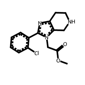 COC(=O)Cn1c(-c2ccccc2Cl)nc2c1CNCC2